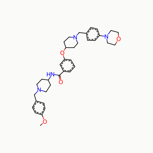 COc1ccc(CN2CCC(NC(=O)c3cccc(OC4CCN(Cc5ccc(N6CCOCC6)cc5)CC4)c3)CC2)cc1